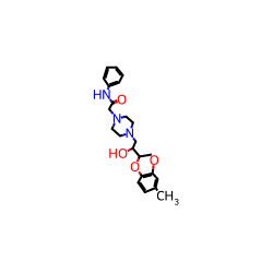 Cc1ccc2c(c1)OCC(C(O)CN1CCN(CC(=O)Nc3ccccc3)CC1)O2